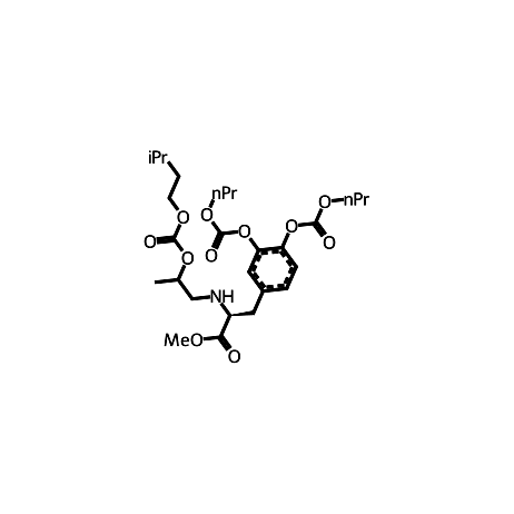 CCCOC(=O)Oc1ccc(C[C@H](NCC(C)OC(=O)OCCC(C)C)C(=O)OC)cc1OC(=O)OCCC